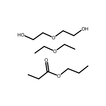 CCCOC(=O)CC.CCOCC.OCCOCCO